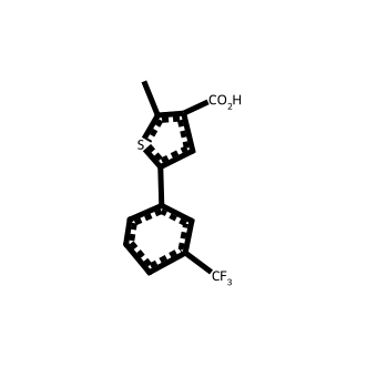 Cc1sc(-c2cccc(C(F)(F)F)c2)cc1C(=O)O